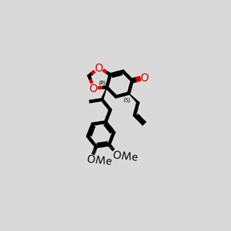 C=CC[C@H]1C[C@]2(C(C)Cc3ccc(OC)c(OC)c3)OCOC2=CC1=O